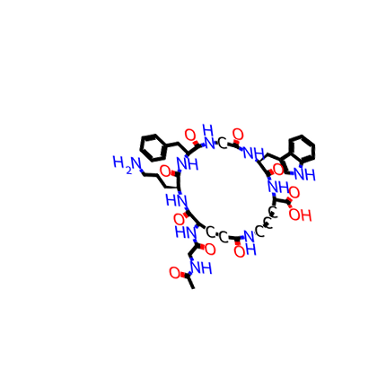 CC(=O)NCC(=O)NC1CCC(=O)NCCCC(C(=O)O)NC(=O)[C@H](Cc2c[nH]c3ccccc23)NC(=O)CNC(=O)C(Cc2ccccc2)NC(=O)[C@H](CCCN)NC1=O